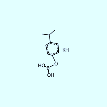 CC(C)c1ccc(OB(O)O)cc1.[KH]